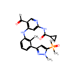 CCC(=O)c1cnc(NC(=O)C2CC2)cc1Nc1cccc(-c2cc(P(C)(C)=O)n(C)n2)c1C